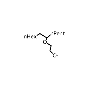 CCCCCCCC(CCCCC)OCC[O]